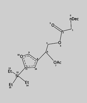 CCCCCCCCCCCC(=O)OCC(OC(C)=O)c1coc([Si](CC)(CC)CC)c1